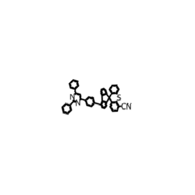 N#Cc1cccc2c1Sc1ccccc1C21c2ccccc2-c2c(-c3ccc(-c4cc(-c5ccccc5)nc(-c5ccccc5)n4)cc3)cccc21